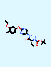 CCOc1cc(Oc2ncc(NC(=O)[C@@H](CC)NC(=O)OC(C)(C)C)cn2)ccc1C